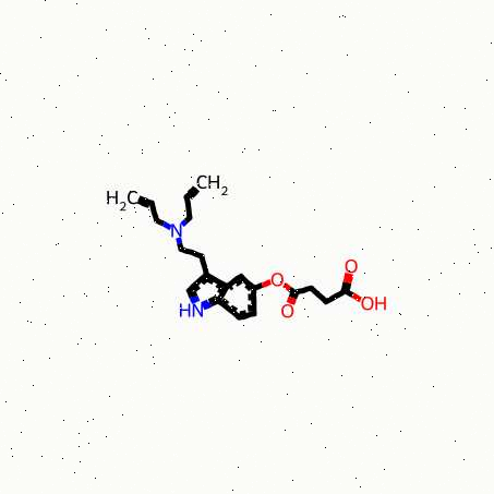 C=CCN(CC=C)CCc1c[nH]c2ccc(OC(=O)CCC(=O)O)cc12